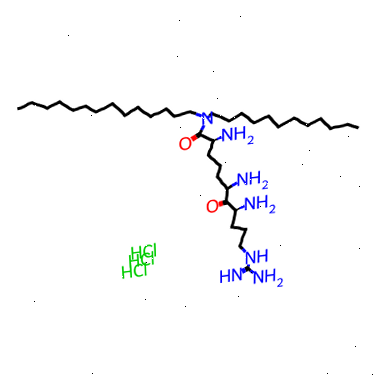 CCCCCCCCCCCCCCN(CCCCCCCCCCCC)C(=O)[C@@H](N)CCCC(N)C(=O)[C@@H](N)CCCNC(=N)N.Cl.Cl.Cl